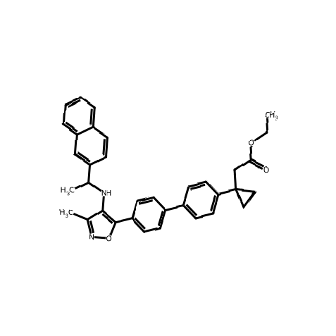 CCOC(=O)CC1(c2ccc(-c3ccc(-c4onc(C)c4NC(C)c4ccc5ccccc5c4)cc3)cc2)CC1